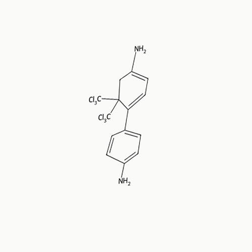 NC1=CC=C(c2ccc(N)cc2)C(C(Cl)(Cl)Cl)(C(Cl)(Cl)Cl)C1